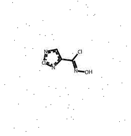 ON=C(Cl)c1cnon1